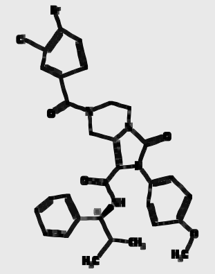 COc1ccc(-n2c(C(=O)N[C@H](c3ccccc3)C(C)C)c3n(c2=O)CCN(C(=O)c2ccc(Br)c(Cl)c2)C3)cc1